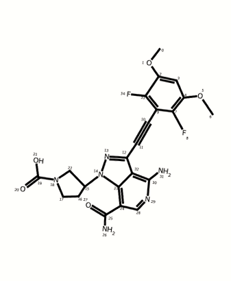 COc1cc(OC)c(F)c(C#Cc2nn(C3CCN(C(=O)O)C3)c3c(C(N)=O)cnc(N)c23)c1F